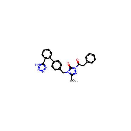 CCCCCCCCc1nn(C(=O)Cc2ccccc2)c(=O)n1Cc1ccc(-c2ccccc2-c2nnn[nH]2)cc1